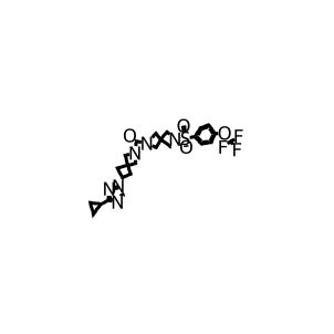 O=C(N1CC2(CC(n3cnc(C4CC4)n3)C2)C1)N1CC2(C1)CN(S(=O)(=O)c1ccc(OC(F)(F)F)cc1)C2